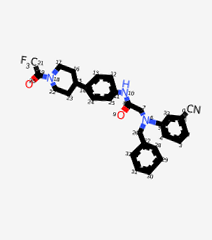 N#Cc1cccc(N(CC(=O)Nc2ccc(C3CCN(C(=O)C(F)(F)F)CC3)cc2)Cc2ccccc2)c1